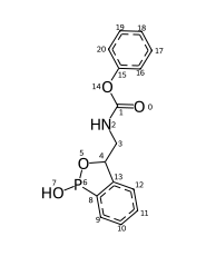 O=C(NCC1OP(O)c2ccccc21)Oc1ccccc1